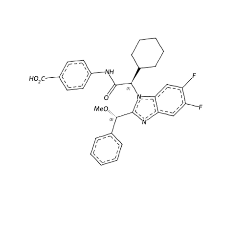 CO[C@@H](c1ccccc1)c1nc2cc(F)c(F)cc2n1[C@@H](C(=O)Nc1ccc(C(=O)O)cc1)C1CCCCC1